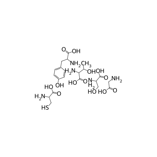 CC(O)C(N)C(=O)O.NC(CO)C(=O)O.NC(CS)C(=O)O.NC(Cc1ccc(O)cc1)C(=O)O.NCC(=O)O